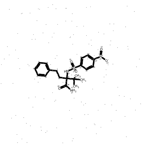 CC(C)(C)C(CCc1ccccc1)(NS(=O)(=O)c1ccc([N+](=O)[O-])cc1)C(N)=O